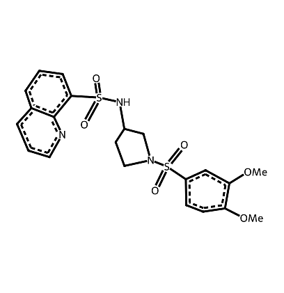 COc1ccc(S(=O)(=O)N2CCC(NS(=O)(=O)c3cccc4cccnc34)C2)cc1OC